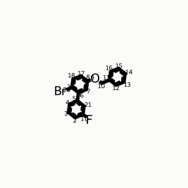 Fc1cccc(-c2cc(OCc3ccccc3)ccc2Br)c1